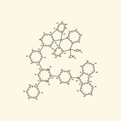 CC1(C)c2ccccc2C2(c3ccccc3-c3ccc(-c4cccc(-c5cc(-c6ccccc6)nc(-c6ccc(-n7c8ccccc8c8ccccc87)cc6)n5)c4)cc32)c2ccccc21